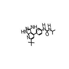 CC(C)NC(=O)Nc1ccc(-c2cc(C(C)(C)C)nc3[nH]nc(N)c23)cc1